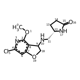 COc1nc(Cl)cc2c1C(NC[C@@H]1CCC(=O)N1)CO2